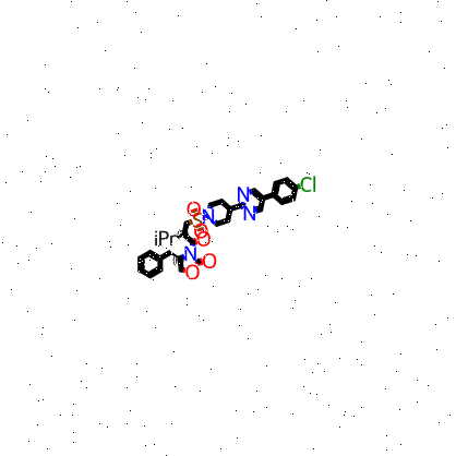 CC(C)[C@@H](CS(=O)(=O)N1CCC(c2ncc(-c3ccc(Cl)cc3)cn2)CC1)C(=O)N1C(=O)OC[C@H]1Cc1ccccc1